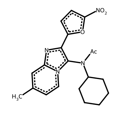 CC(=O)N(c1c(-c2ccc([N+](=O)[O-])o2)nc2cc(C)ccn12)C1CCCCC1